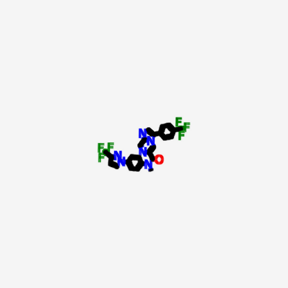 CN(C(=O)c1cn2c(-c3ccc(C(F)(F)F)cc3)cnc2cn1)c1ccc(-n2ccc(C(F)(F)F)n2)cc1